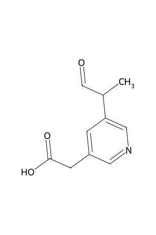 CC(C=O)c1cncc(CC(=O)O)c1